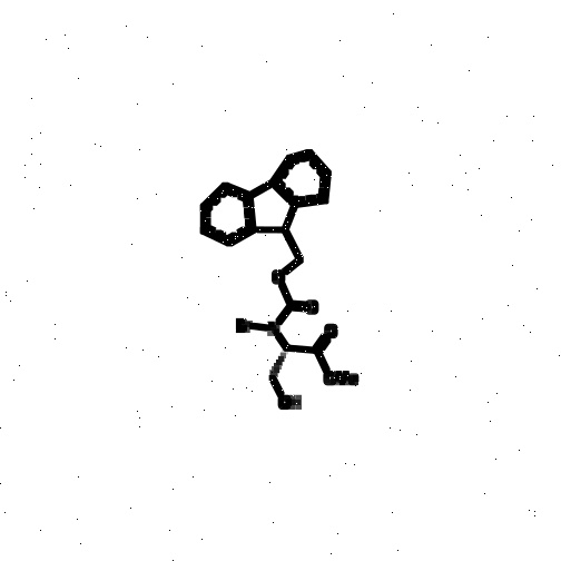 COC(=O)[C@H](CO)N(Br)C(=O)OCC1c2ccccc2-c2ccccc21